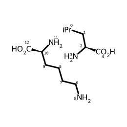 CC(C)C[C@H](N)C(=O)O.NCCCC[C@H](N)C(=O)O